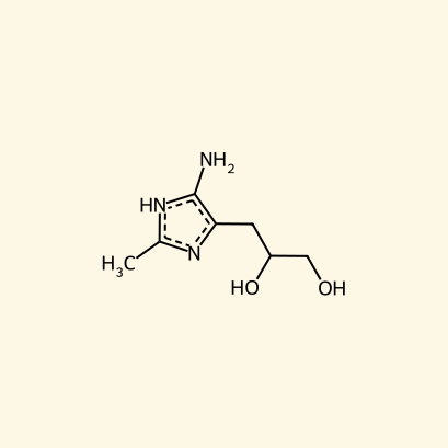 Cc1nc(CC(O)CO)c(N)[nH]1